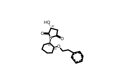 O=C1C[C@@H](O)C(=O)N1[C@@H]1CCCC[C@@H]1OCCc1ccccc1